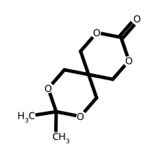 CC1(C)OCC2(COC(=O)OC2)CO1